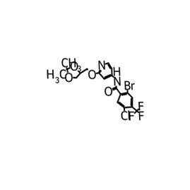 CC1(C)OCC(COc2cc(NC(=O)c3cc(Cl)c(C(F)(F)F)cc3Br)ccn2)O1